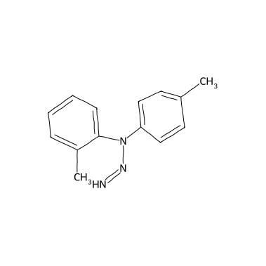 Cc1ccc(N(N=N)c2ccccc2C)cc1